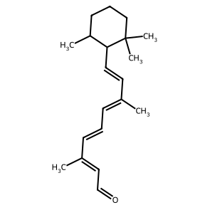 CC(C=CC=C(C)C=CC1C(C)CCCC1(C)C)=CC=O